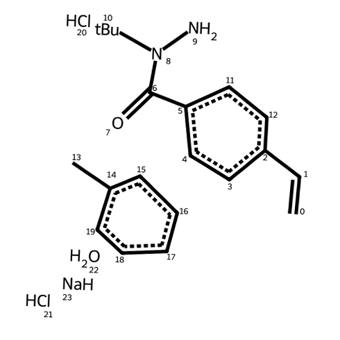 C=Cc1ccc(C(=O)N(N)C(C)(C)C)cc1.Cc1ccccc1.Cl.Cl.O.[NaH]